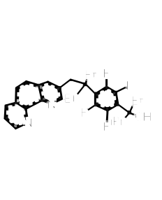 CCC(CC)(Cc1cnc2c(ccc3cccnc32)c1)c1c(F)c(F)c(C(C)(CC)C(C)C)c(F)c1F